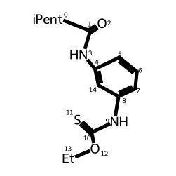 CCCC(C)C(=O)Nc1cccc(NC(=S)OCC)c1